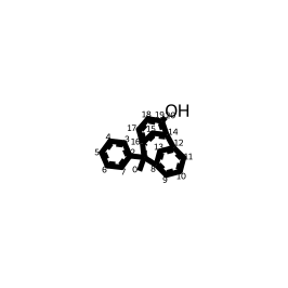 CC1(c2ccccc2)c2cccc(c2)-c2cc1ccc2O